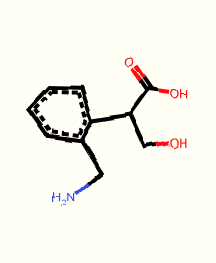 NCc1ccccc1C(CO)C(=O)O